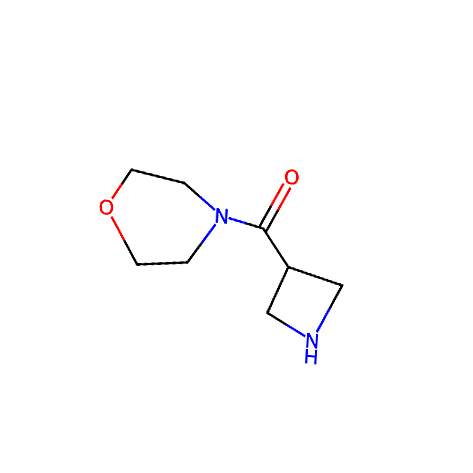 O=C(C1CNC1)N1CCOCC1